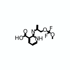 C=C(COC(F)(F)OC)/N=c1\[nH]cccc1C(=O)O